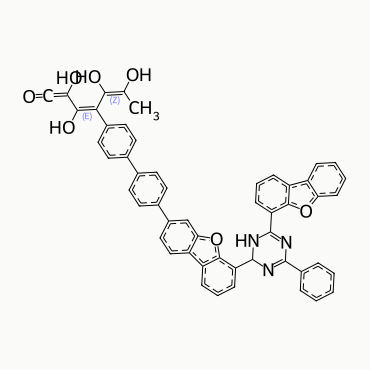 C/C(O)=C(O)\C(=C(\O)C(O)=C=O)c1ccc(-c2ccc(-c3ccc4c(c3)oc3c(C5N=C(c6ccccc6)N=C(c6cccc7c6oc6ccccc67)N5)cccc34)cc2)cc1